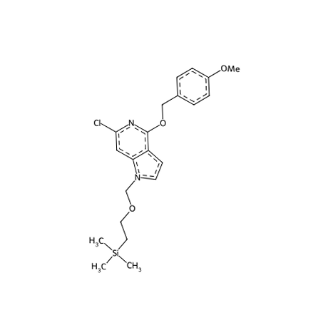 COc1ccc(COc2nc(Cl)cc3c2ccn3COCC[Si](C)(C)C)cc1